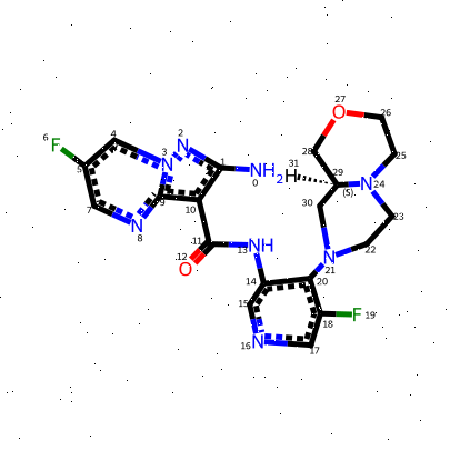 Nc1nn2cc(F)cnc2c1C(=O)Nc1cncc(F)c1N1CCN2CCOC[C@@H]2C1